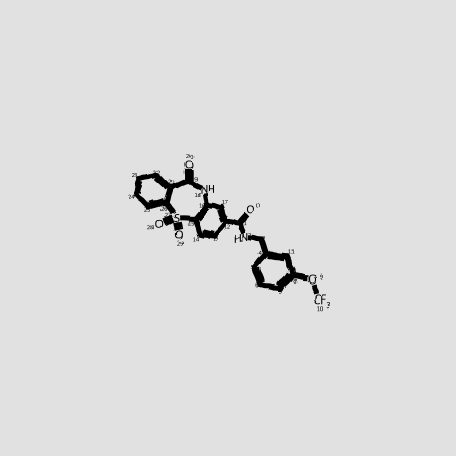 O=C(NCc1cccc(OC(F)(F)F)c1)c1ccc2c(c1)NC(=O)c1ccccc1S2(=O)=O